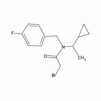 CC(C1CC1)N(Cc1ccc(F)cc1)C(=O)CBr